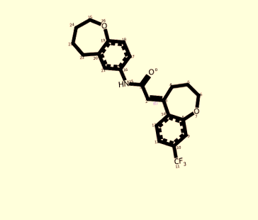 O=C(/C=C1\CCCOc2cc(C(F)(F)F)ccc21)Nc1ccc2c(c1)CCCCO2